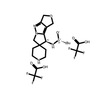 CC(C)(C)[S@@+]([O-])N[C@@H]1c2c3c(nn2CC12CCNCC2)COC3.O=C(O)C(F)(F)F.O=C(O)C(F)(F)F